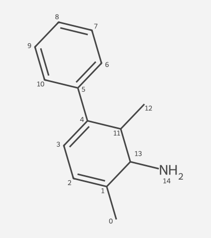 CC1=CC=C(c2ccccc2)C(C)C1N